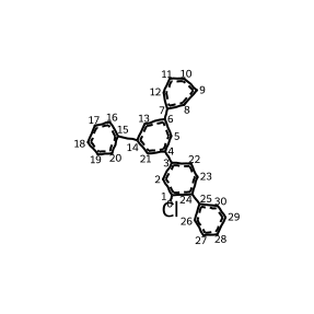 Clc1cc(-c2cc(-c3ccccc3)cc(-c3ccccc3)c2)ccc1-c1ccccc1